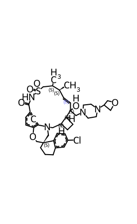 C[C@@H]1CS(=O)(=O)NC(=O)c2ccc3c(c2)N(C[C@@H]2CC[C@H]2[C@@](O)(CN2CCN(C4COC4)CC2)/C=C/[C@@H]1C)C[C@@]1(CCCc2cc(Cl)ccc21)CO3